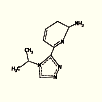 CC(C)n1cnnc1C1=NC(N)CC=C1